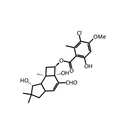 COc1cc(O)c(C(=O)O[C@@H]2C[C@]3(C)C4C(C=C(C=O)[C@]23O)CC(C)(C)[C@@H]4O)c(C)c1Cl